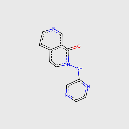 O=c1c2cnccc2ccn1Nc1cnccn1